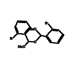 COC(OC(OC)c1ccccc1Br)c1ccccc1Br